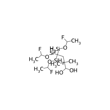 CC(F)O[SiH2]C(CC(C)(C)C(O)O)([SiH2]OC(C)F)[SiH2]OC(C)F